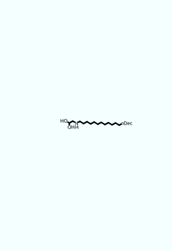 CCCCCCCCCCCCCCCCCCCCCCNCC(O)O